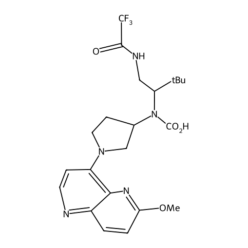 COc1ccc2nccc(N3CCC(N(C(=O)O)C(CNC(=O)C(F)(F)F)C(C)(C)C)C3)c2n1